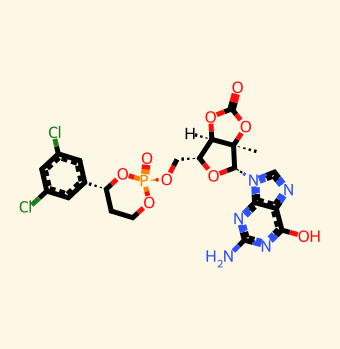 C[C@@]12OC(=O)O[C@@H]1[C@@H](CO[P@]1(=O)OCC[C@H](c3cc(Cl)cc(Cl)c3)O1)O[C@H]2n1cnc2c(O)nc(N)nc21